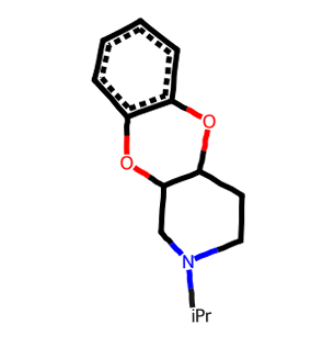 CC(C)N1CCC2Oc3ccccc3OC2C1